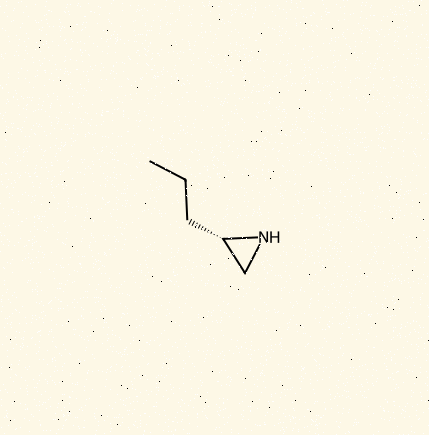 CCC[C@H]1CN1